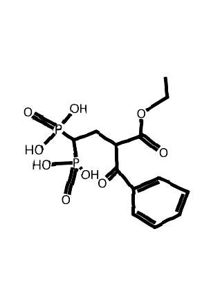 CCOC(=O)C(CC(P(=O)(O)O)P(=O)(O)O)C(=O)c1ccccc1